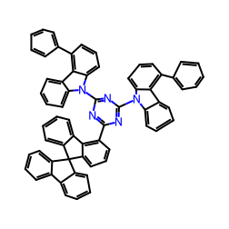 c1ccc(-c2cccc3c2c2ccccc2n3-c2nc(-c3cccc4c3-c3ccccc3C43c4ccccc4-c4ccccc43)nc(-n3c4ccccc4c4c(-c5ccccc5)cccc43)n2)cc1